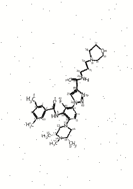 Cc1cc(C)cc(C(=O)Nc2c(N3C[C@@H](C)N(C)[C@@H](C)C3)ccc(-n3cc(C(=O)NCCCN4CCOCC4)nn3)c2F)c1